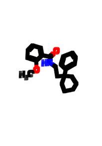 COc1ccccc1C(=O)NCCC1(c2ccccc2)CCCCC1